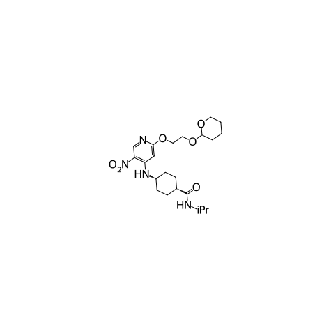 CC(C)NC(=O)[C@H]1CC[C@@H](Nc2cc(OCCOC3CCCCO3)ncc2[N+](=O)[O-])CC1